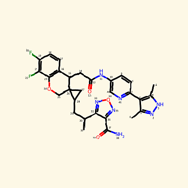 Cc1n[nH]c(C)c1-c1ccc(NC(=O)CC2c3ccc(F)c(F)c3OCC23CC3CC(C)c2nonc2C(N)=O)cn1